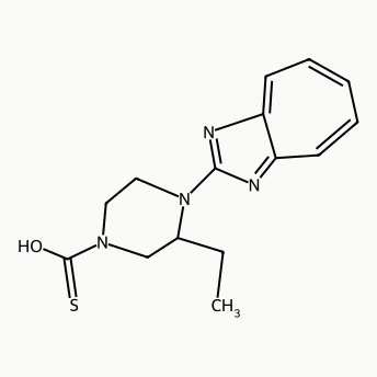 CCC1CN(C(O)=S)CCN1c1nc2cccccc-2n1